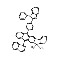 CC1(C)c2ccccc2-c2cc3c(-c4ccc(-c5nc6ccccc6n5-c5ccccc5)cc4)c4ccccc4c(-c4cccc5ccccc45)c3cc21